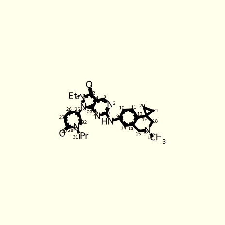 CCn1c(=O)c2cnc(Nc3ccc4c(c3)CN(C)CC43CC3)nc2n1-c1ccc(=O)n(C(C)C)c1